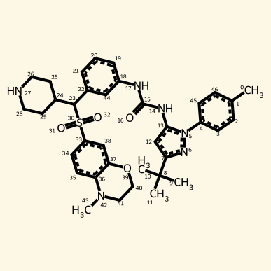 Cc1ccc(-n2nc(C(C)(C)C)cc2NC(=O)Nc2cccc(C(C3CCNCC3)S(=O)(=O)c3ccc4c(c3)OCCN4C)c2)cc1